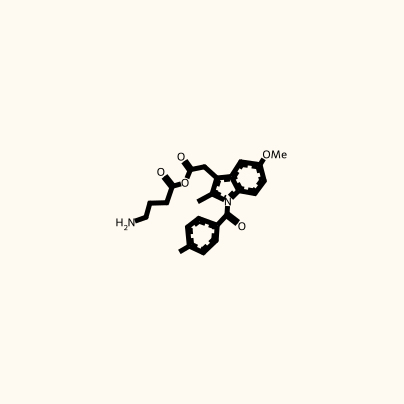 COc1ccc2c(c1)c(CC(=O)OC(=O)CCCN)c(C)n2C(=O)c1ccc(C)cc1